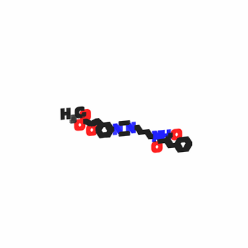 COC(=O)c1cc2cc(N3CCN(CCCCNC(=O)C4=Cc5ccccc5OC4)CC3)ccc2o1